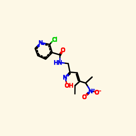 CCC(=CC(CNC(=O)c1cccnc1Cl)=NO)C(C)[N+](=O)[O-]